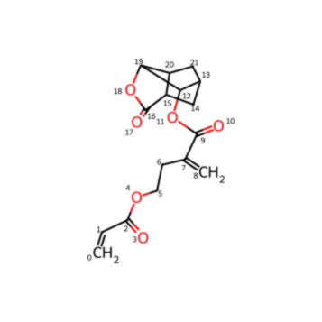 C=CC(=O)OCCC(=C)C(=O)OC1C2CC3C(=O)OC1C3C2